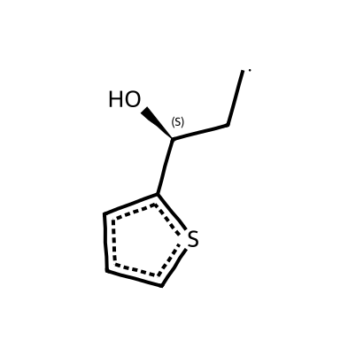 [CH2]C[C@H](O)c1cccs1